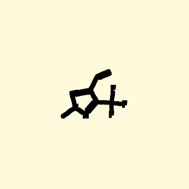 C=Cc1cn(C)nc1C(F)(F)F